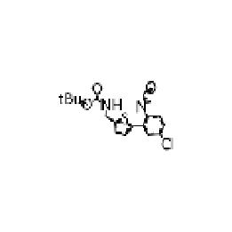 CC(C)(C)OC(=O)NCc1ccc(-c2cc(Cl)ccc2N=C=O)s1